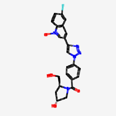 O=C(c1ccc(-n2cc(-c3cc4cc(F)ccc4[n+]([O-])c3)nn2)cc1)N1C[C@H](O)C[C@H]1CO